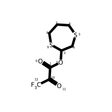 O=C(OC1CSCCCS1)C(=O)C(F)(F)F